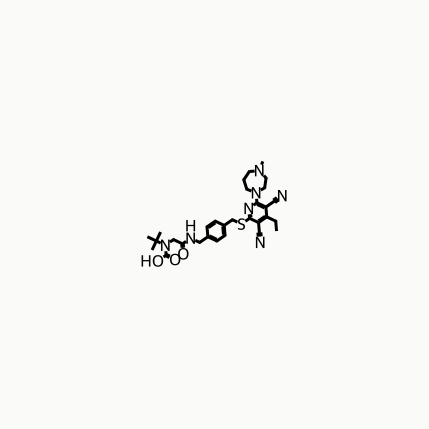 CCc1c(C#N)c(SCc2ccc(CNC(=O)CN(C(=O)O)C(C)(C)C)cc2)nc(N2CCCN(C)CC2)c1C#N